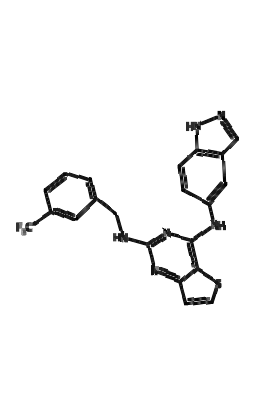 FC(F)(F)c1cccc(CNc2nc(Nc3ccc4[nH]ncc4c3)c3sccc3n2)c1